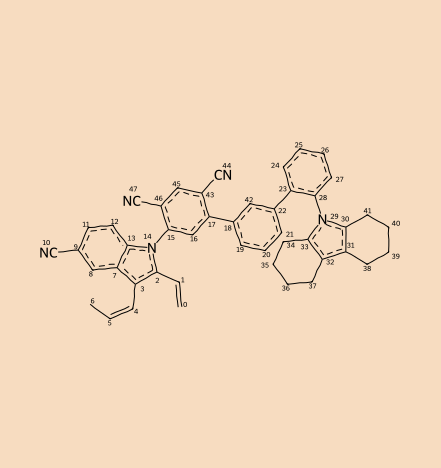 C=Cc1c(/C=C\C)c2cc(C#N)ccc2n1-c1cc(-c2cccc(-c3ccccc3-n3c4c(c5c3CCCC5)CCCC4)c2)c(C#N)cc1C#N